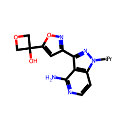 CC(C)n1nc(-c2cc(C3(O)COC3)on2)c2c(N)nccc21